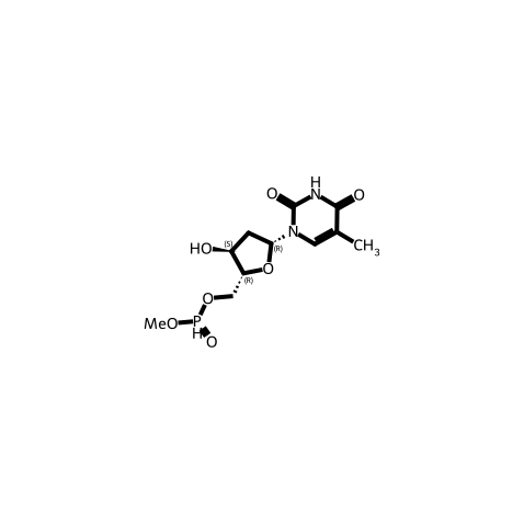 CO[PH](=O)OC[C@H]1O[C@@H](n2cc(C)c(=O)[nH]c2=O)C[C@@H]1O